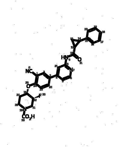 N#Cc1cc(-c2ccnc(NC(=O)C3CC3c3ccccc3)c2)ccc1O[C@H]1CCN(C(=O)O)C[C@H]1F